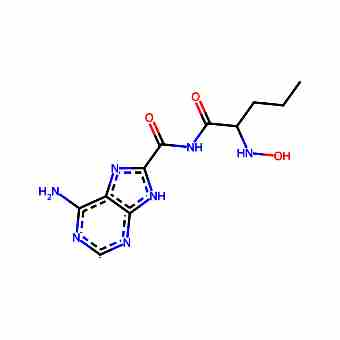 CCCC(NO)C(=O)NC(=O)c1nc2c(N)n[c]nc2[nH]1